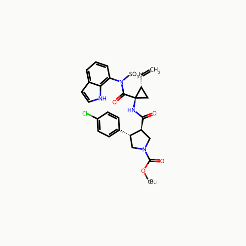 C=C[C@@H]1C[C@]1(NC(=O)[C@H]1CN(C(=O)OC(C)(C)C)C[C@@H]1c1ccc(Cl)cc1)C(=O)N(c1cccc2cc[nH]c12)S(=O)(=O)O